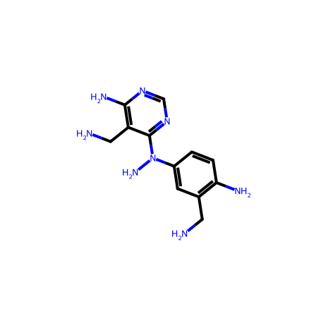 NCc1cc(N(N)c2ncnc(N)c2CN)ccc1N